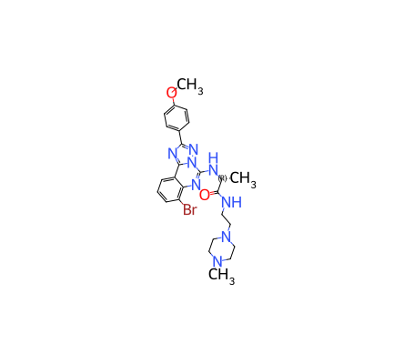 COc1ccc(-c2nc3c4cccc(Br)c4nc(N[C@H](C)C(=O)NCCN4CCN(C)CC4)n3n2)cc1